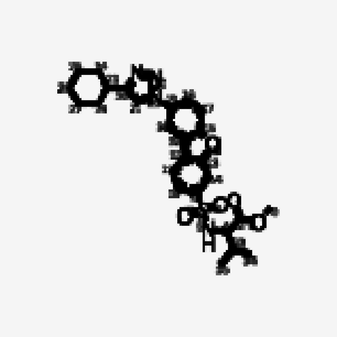 COC(=O)C(NS(=O)(=O)c1ccc2c(c1)oc1ccc(-n3cc(C4CCCCC4)nn3)cc12)C(C)C